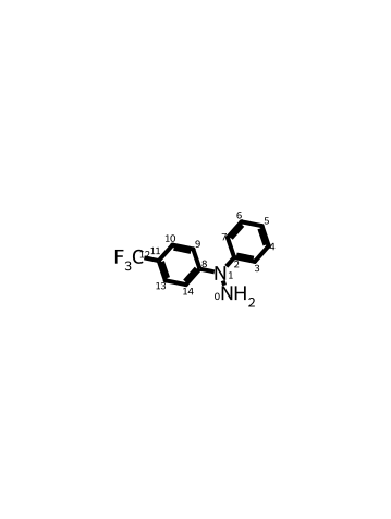 NN(c1ccccc1)c1ccc(C(F)(F)F)cc1